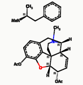 CC(=O)Oc1ccc2c3c1O[C@H]1[C@@H](OC(C)=O)C=C[C@H]4[C@@H](C2)N(C)CC[C@@]341.CN[C@@H](C)Cc1ccccc1